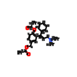 CC(C)C(=O)OCc1ccc(OC(=O)C(C)C)c([C@H](CCN(C(C)C)C(C)C)c2ccccc2)c1